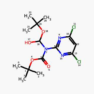 CC(C)(C)OC(=O)N(c1nc(Cl)cc(Cl)n1)C(O)OC(C)(C)C